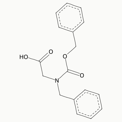 O=C(O)CN(Cc1ccccc1)C(=O)OCc1ccccc1